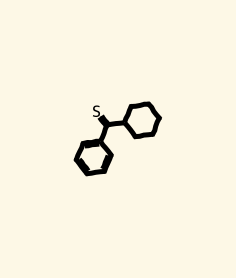 S=C(c1ccccc1)C1CCCCC1